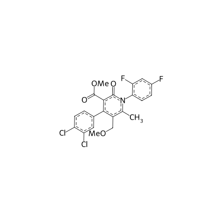 COCc1c(-c2ccc(Cl)c(Cl)c2)c(C(=O)OC)c(=O)n(-c2ccc(F)cc2F)c1C